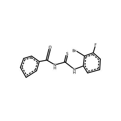 O=C(NC(=S)Nc1cccc(F)c1Br)c1ccccc1